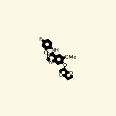 COc1cc2c(Nc3ccc(F)cc3C(F)(F)F)ncnc2cc1O[C@@H]1COC2CCOC21